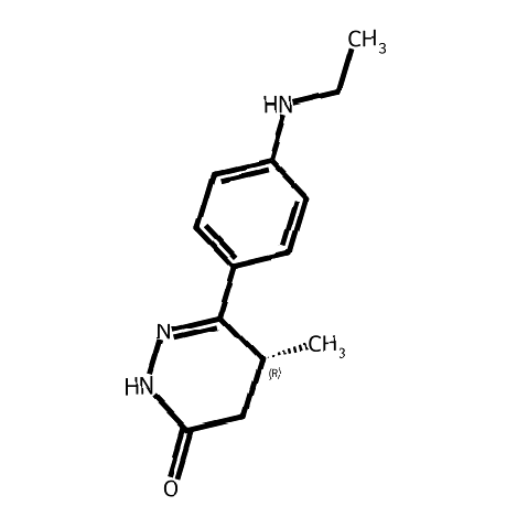 CCNc1ccc(C2=NNC(=O)C[C@H]2C)cc1